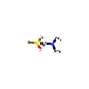 CN(C)C.[O-][S+](Br)Br